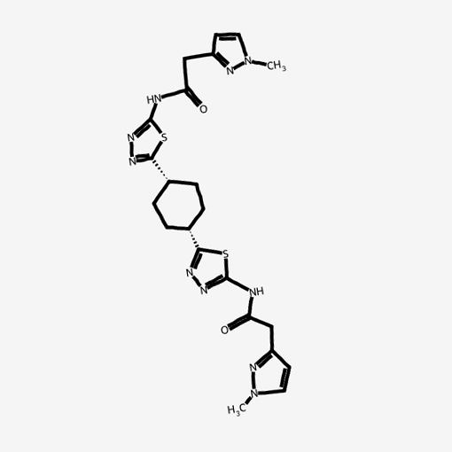 Cn1ccc(CC(=O)Nc2nnc([C@H]3CC[C@@H](c4nnc(NC(=O)Cc5ccn(C)n5)s4)CC3)s2)n1